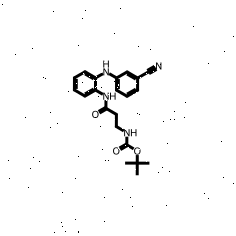 CC(C)(C)OC(=O)NCCC(=O)Nc1ccccc1Nc1cccc(C#N)c1